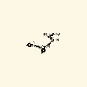 O=CO[C@H](CCCCNC(=O)c1ccc(I)cc1OCCCCNC(=O)c1ccc(I)cc1)OC(=O)N[C@@H](CCC(=O)O)C(=O)O